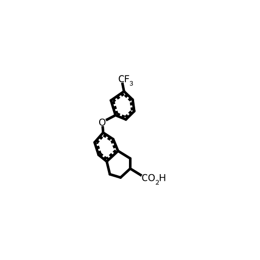 O=C(O)C1CCc2ccc(Oc3cccc(C(F)(F)F)c3)cc2C1